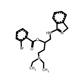 CCN(CC)CCC(CNC1=NCc2ccccc21)OC(=O)c1ccccc1Br